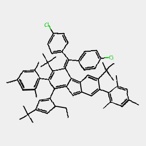 CCC1C=C(C(C)(C)C)C=C1c1c(-c2c(C)cc(C)cc2C)c(C(C)(C)C)c(=C(c2ccc(Cl)cc2)c2ccc(Cl)cc2)c2c1[C]=c1cc(-c3c(C)cc(C)cc3C)c(C(C)(C)C)cc1=2